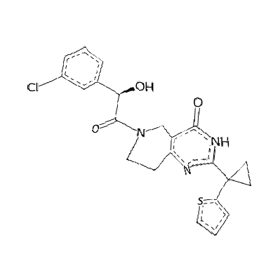 O=C([C@H](O)c1cccc(Cl)c1)N1CCc2nc(C3(c4cccs4)CC3)[nH]c(=O)c2C1